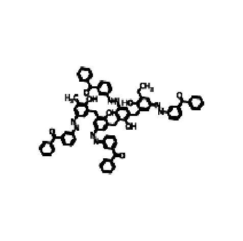 CCc1cc(N=Nc2cccc(C(=O)c3ccccc3)c2)cc(Cc2cc(N=Nc3cccc(C(=O)c4ccccc4)c3)cc(Cc3cc(N=Nc4cccc(C(=O)c5ccccc5)c4)cc(Cc4cc(N=Nc5cccc(C(=O)c6ccccc6)c5)cc(C)c4O)c3O)c2O)c1O